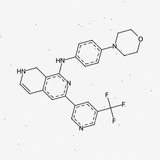 FC(F)(F)c1cncc(-c2cc3c(c(Nc4ccc(N5CCOCC5)cc4)n2)CNC=C3)c1